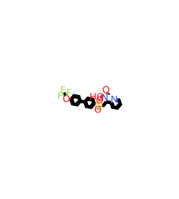 O=CN(O)C(CS(=O)(=O)c1ccc(-c2ccc(OC(F)(F)F)cc2)cc1)c1ccccn1